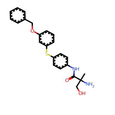 CC(N)(CO)C(=O)Nc1ccc(Sc2cccc(OCc3ccccc3)c2)cc1